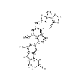 COc1nc(N[C@H]2C[C@@](C)(N3CCCC3=O)C2)nc2[nH]cc(-c3cc(F)c4nc(C)n(CC(F)F)c4c3)c12